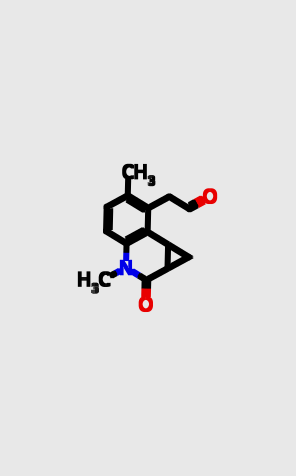 Cc1ccc2c(c1CC=O)C1CC1C(=O)N2C